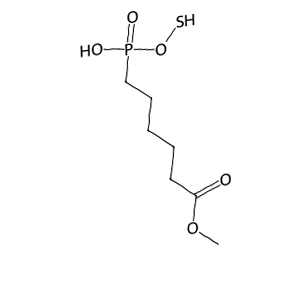 COC(=O)CCCCCP(=O)(O)OS